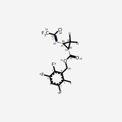 Cc1c(F)cc(F)c(F)c1COC(=O)[C@@H]1[C@H](/C=C(\Cl)C(F)(F)F)C1(C)C